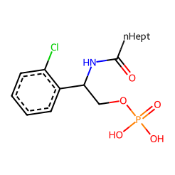 CCCCCCCC(=O)NC(COP(=O)(O)O)c1ccccc1Cl